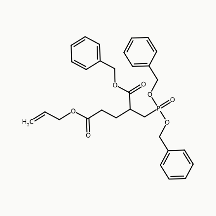 C=CCOC(=O)CCC(CP(=O)(OCc1ccccc1)OCc1ccccc1)C(=O)OCc1ccccc1